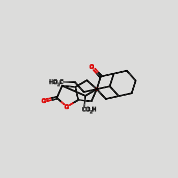 O=C(O)CCC1CC2CCCC(C1=O)C2C12CC3OC(=O)C(C3C1)C2C(=O)O